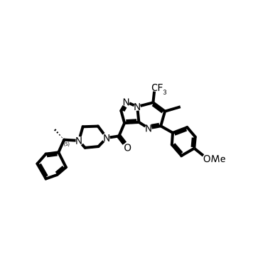 COc1ccc(-c2nc3c(C(=O)N4CCN([C@@H](C)c5ccccc5)CC4)cnn3c(C(F)(F)F)c2C)cc1